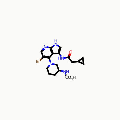 O=C(O)NC1CCCN(c2c(Br)cnc3[nH]cc(NC(=O)CC4CC4)c23)C1